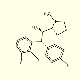 C[C@H]([C@H](c1ccc(F)cc1)c1cccc(F)c1F)[C@H]1CCCN1C